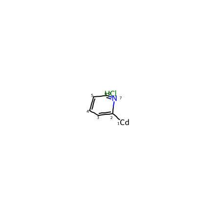 Cl.[Cd][c]1ccccn1